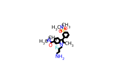 Cc1c(-c2cccc(S(=O)(=O)N(C)C)c2)c2ccc(C(=O)N(C)C)cc2n1C/C(F)=C/CN